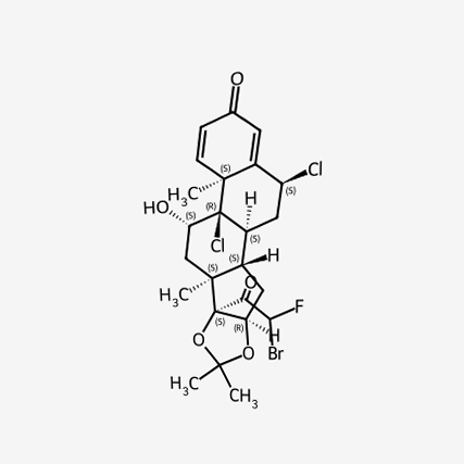 CC1(C)O[C@@H]2C[C@H]3[C@@H]4C[C@H](Cl)C5=CC(=O)C=C[C@]5(C)[C@@]4(Cl)[C@@H](O)C[C@]3(C)[C@]2(C(=O)C(F)Br)O1